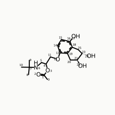 CC(=O)OC(CNC(C)(C)C)COc1ccc(O)c2c1C[C@H](O)[C@@H](O)C2